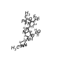 Cc1ccc(Nc2cc3ncn(-c4ccc(C(F)F)c(O[C@@H](C)C(F)F)n4)c3cc2OC2COC2)nn1